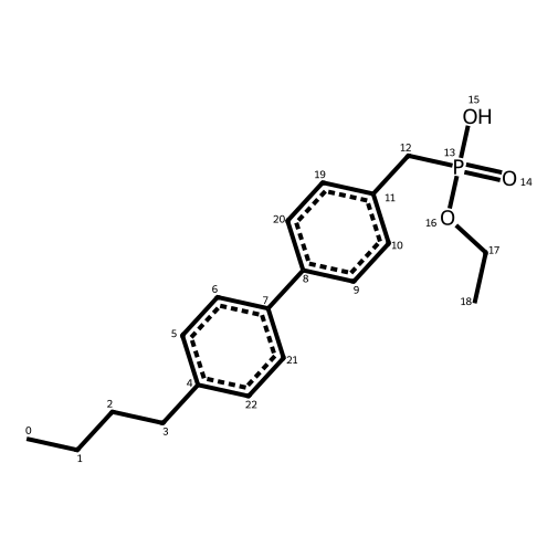 CCCCc1ccc(-c2ccc(CP(=O)(O)OCC)cc2)cc1